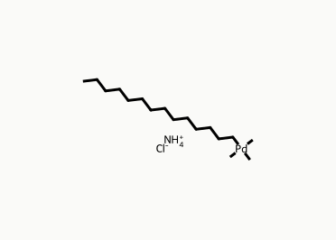 CCCCCCCCCCCCC[CH2][Pd]([CH3])([CH3])[CH3].[Cl-].[NH4+]